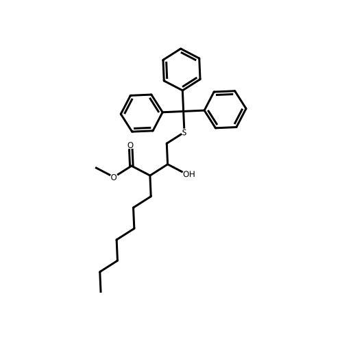 CCCCCCCC(C(=O)OC)C(O)CSC(c1ccccc1)(c1ccccc1)c1ccccc1